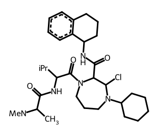 CNC(C)C(=O)NC(C(=O)N1CCCN(C2CCCCC2)C(Cl)C1C(=O)NC1CCCc2ccccc21)C(C)C